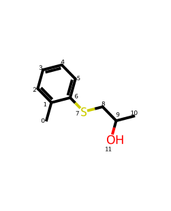 Cc1ccccc1SCC(C)O